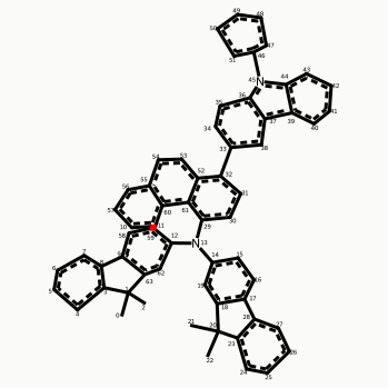 CC1(C)c2ccccc2-c2ccc(N(c3ccc4c(c3)C(C)(C)c3ccccc3-4)c3ccc(-c4ccc5c(c4)c4ccccc4n5-c4ccccc4)c4ccc5ccccc5c34)cc21